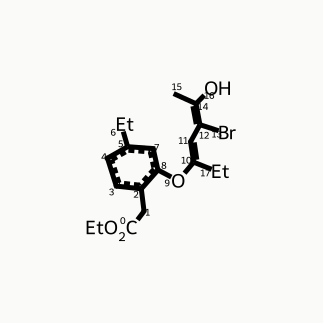 CCOC(=O)Cc1ccc(CC)cc1OC(=C/C(Br)=C(\C)O)CC